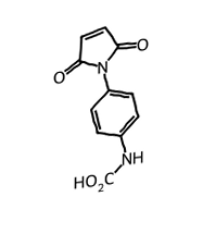 O=C(O)Nc1ccc(N2C(=O)C=CC2=O)cc1